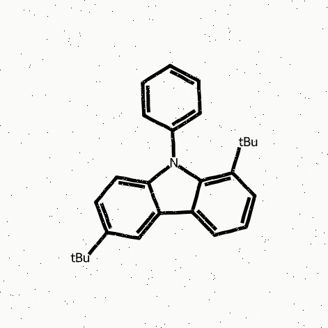 CC(C)(C)c1ccc2c(c1)c1cccc(C(C)(C)C)c1n2-c1ccccc1